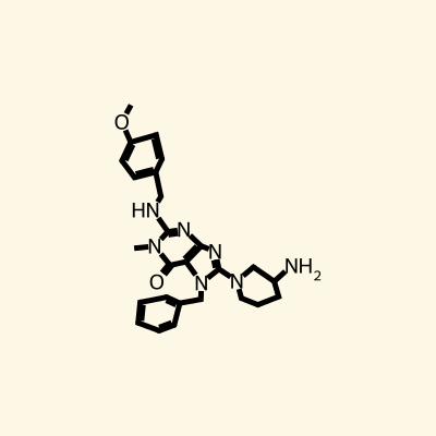 COc1ccc(CNc2nc3nc(N4CCCC(N)C4)n(Cc4ccccc4)c3c(=O)n2C)cc1